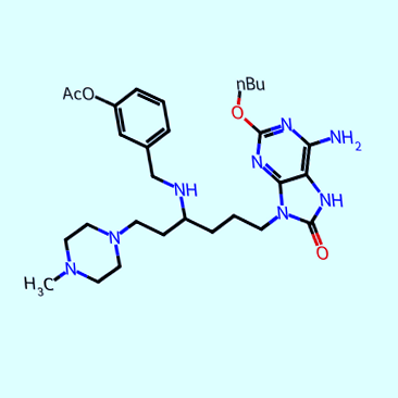 CCCCOc1nc(N)c2[nH]c(=O)n(CCCC(CCN3CCN(C)CC3)NCc3cccc(OC(C)=O)c3)c2n1